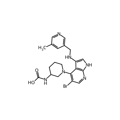 Cc1cncc(CNc2c[nH]c3ncc(Br)c(N4CCCC(NC(=O)O)C4)c23)c1